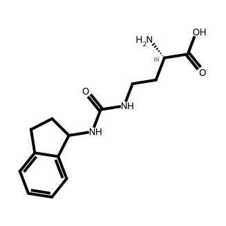 N[C@@H](CCNC(=O)NC1CCc2ccccc21)C(=O)O